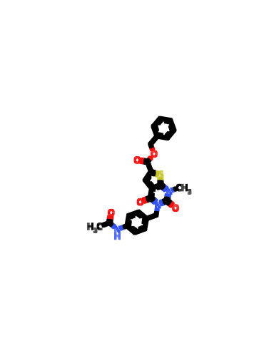 CC(=O)Nc1ccc(Cn2c(=O)c3cc(C(=O)OCc4ccccc4)sc3n(C)c2=O)cc1